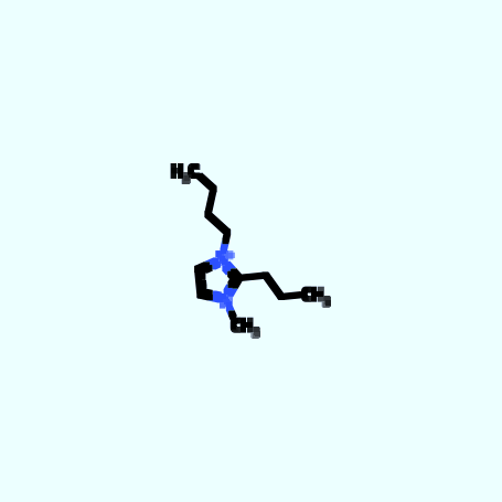 CCCC[n+]1ccn(C)c1CCC